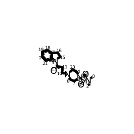 CN(C)S(=O)(=O)N1CCN(CCC(=O)N2CCc3ccccc32)CC1